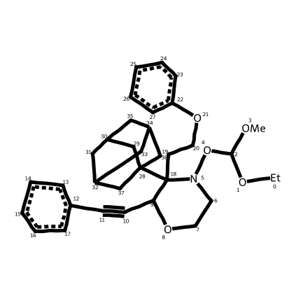 CCOC(OC)ON1CCOC(C#Cc2ccccc2)C1(CCOc1ccccc1)C12CC3CC(CC(C3)C1)C2